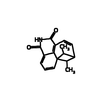 CC1C2C=CC3=C4C(=CC=CC41C2C)C(=O)NC3=O